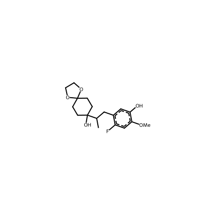 COc1cc(F)c(CC(C)C2(O)CCC3(CC2)OCCO3)cc1O